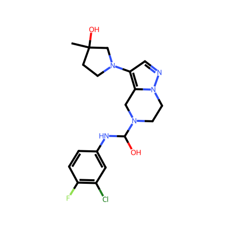 CC1(O)CCN(c2cnn3c2CN(C(O)Nc2ccc(F)c(Cl)c2)CC3)C1